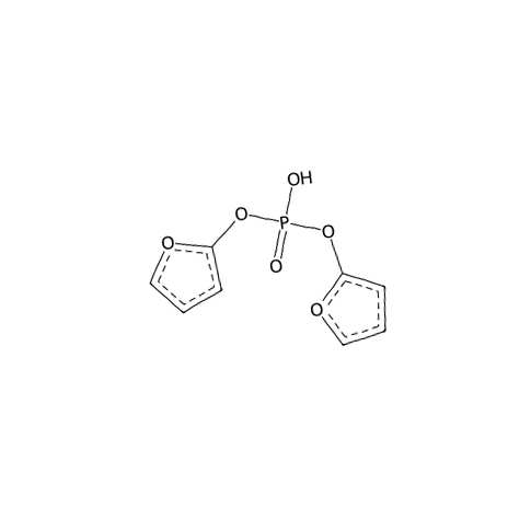 O=P(O)(Oc1ccco1)Oc1ccco1